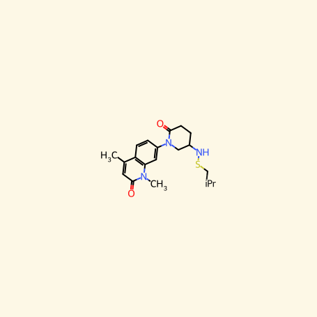 Cc1cc(=O)n(C)c2cc(N3CC(NSCC(C)C)CCC3=O)ccc12